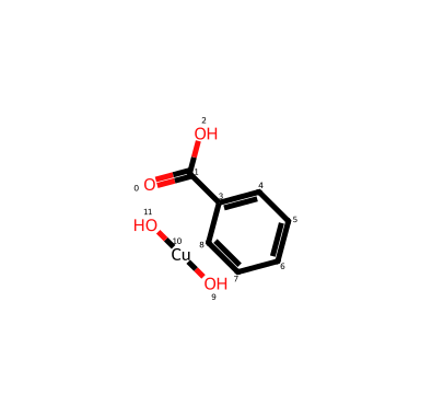 O=C(O)c1ccccc1.[OH][Cu][OH]